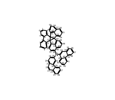 c1ccc2c(c1)-c1ccccc1C13c4ccc(N(c5ccc6ccc7ccccc7c6c5)c5cc6ccccc6c6ccccc56)c5cccc(c45)C14c1cccc5cccc(c15)C234